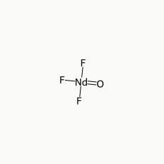 [O]=[Nd]([F])([F])[F]